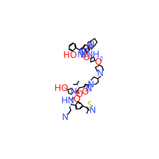 Cc1ncsc1-c1ccc([C@H](CCC#N)NC(=O)[C@@H]2C[C@@H](O)CN2C(=O)[C@@H](c2cc(N3CCC(CN4CCC(O[C@H]5C[C@H](Oc6cc(N7C8CCC7CN(c7cc(-c9ccccc9O)nnc7N)C8)ccn6)C5)CC4)CC3)no2)C(C)C)cc1